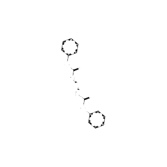 O=C(N=S=NC(=O)Oc1ccccc1)Oc1ccccc1